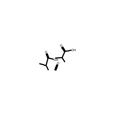 C=O.CC(C)C(=O)O.CC(C)C(=O)O